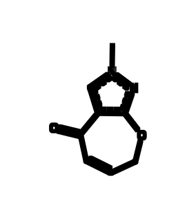 Cn1cc2c(n1)OCC=CC2=O